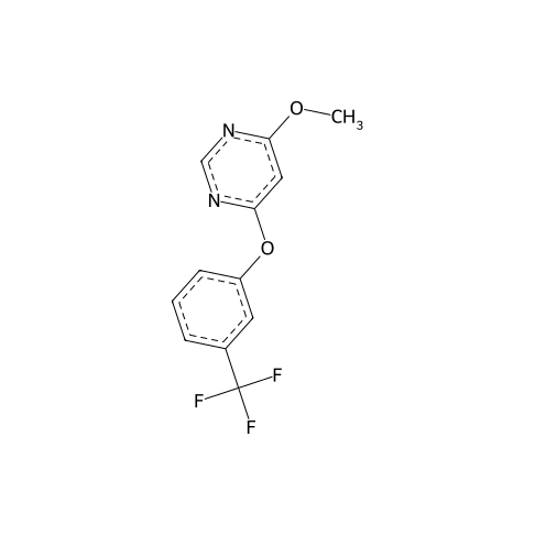 COc1cc(Oc2cccc(C(F)(F)F)c2)ncn1